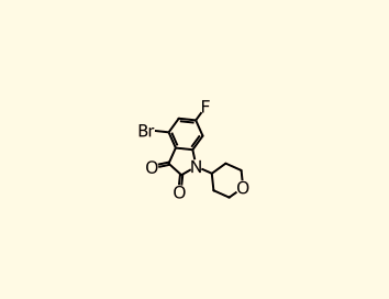 O=C1C(=O)N(C2CCOCC2)c2cc(F)cc(Br)c21